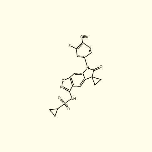 CC(C)COc1ncc(N2C(=O)C3(CC3)c3cc4c(NS(=O)(=O)C5CC5)noc4cc32)cc1F